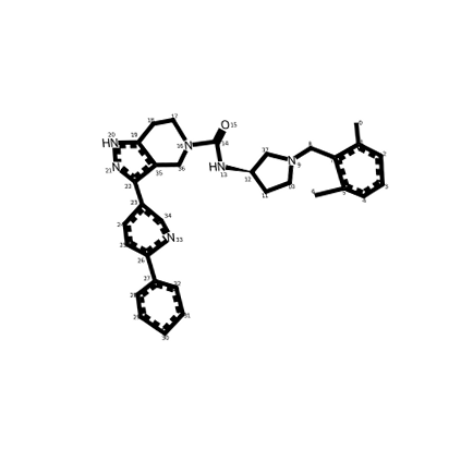 Cc1cccc(C)c1CN1CC[C@@H](NC(=O)N2CCc3[nH]nc(-c4ccc(-c5ccccc5)nc4)c3C2)C1